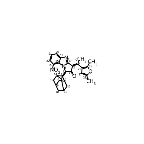 C/C(=C1/C(=O)C(=C2C3CC4CC(C3)CC2C4)n2c1nc1cccc([N+](=O)[O-])c12)c1cc(C)oc1C